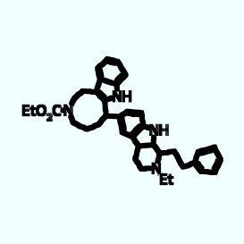 CCOC(=O)N1CCCC(c2ccc3c(c2)C2CCN(CC)C(CCc4ccccc4)C2N3)c2[nH]c3ccccc3c2CC1